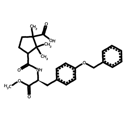 COC(=O)[C@H](Cc1ccc(OCc2ccccc2)cc1)NC(=O)C1CCC(C)(C(=O)O)C1(C)C